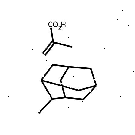 C=C(C)C(=O)O.CC1C2CC3CC(C2)CC1C3